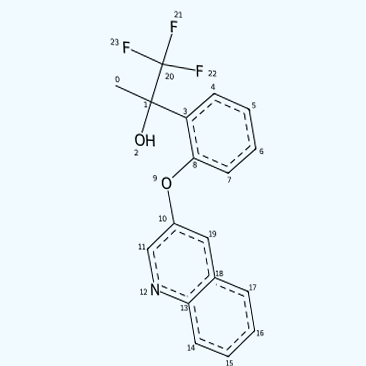 CC(O)(c1ccccc1Oc1cnc2ccccc2c1)C(F)(F)F